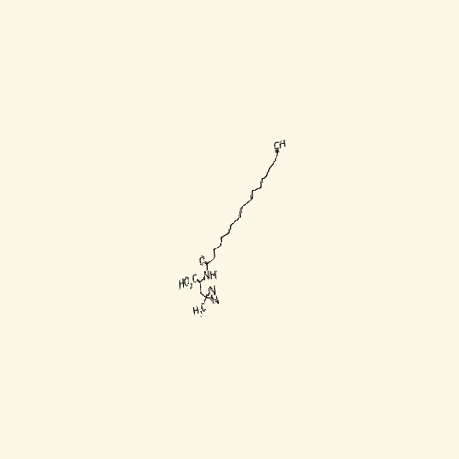 C#CCCCCCCCCCCCCCCCC(=O)NC(CC1(C)N=N1)C(=O)O